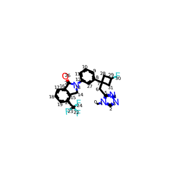 Cn1cnnc1CC1(c2cccc(N3Cc4c(cccc4C(F)(F)F)C3=O)c2)CC(F)C1